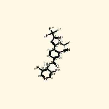 CCn1nc(C(F)(F)F)cc1-c1ccc(C(=O)Nc2c(F)cncc2F)cc1C#N